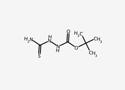 CC(C)(C)OC(=O)NNC(N)=S